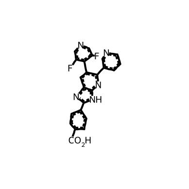 O=C(O)c1ccc(-c2nc3cc(-c4c(F)cncc4F)c(-c4cccnc4)nc3[nH]2)cc1